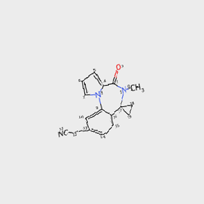 CN1C(=O)c2cccn2-c2cc(CC#N)ccc2C12CC2